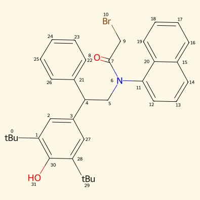 CC(C)(C)c1cc(C(CN(C(=O)CBr)c2cccc3ccccc23)c2ccccc2)cc(C(C)(C)C)c1O